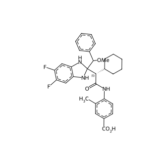 COC(c1ccccc1)C1([C@@H](C(=O)Nc2ccc(C(=O)O)cc2C)C2CCCCC2)Nc2cc(F)c(F)cc2N1